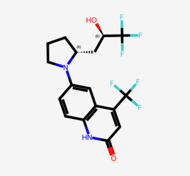 O=c1cc(C(F)(F)F)c2cc(N3CCC[C@@H]3C[C@@H](O)C(F)(F)F)ccc2[nH]1